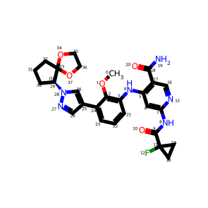 COc1c(Nc2cc(NC(=O)C3(F)CC3)ncc2C(N)=O)cccc1-c1cnn([C@H]2CCCC23OCCO3)c1